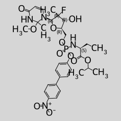 CC[C@H](NP(=O)(OC[C@H]1O[C@@H](N2C=CC(=O)NC2(C)OC)[C@](C)(F)[C@@H]1O)Oc1ccc(-c2ccc([N+](=O)[O-])cc2)cc1)C(=O)OC(C)C